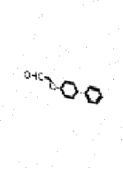 O=CCO[C@H]1CC[C@H](c2ccccc2)CC1